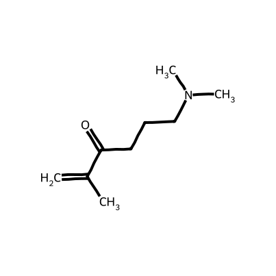 C=C(C)C(=O)CCCN(C)C